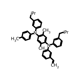 C=Cc1cccc(N(c2cccc(CC(C)C)c2)c2cc(C)c(N(c3ccc(C)cc3)c3cccc(CC(C)C)c3)cc2C)c1